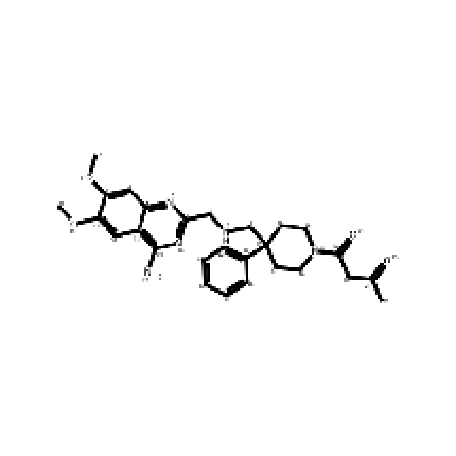 COc1cc2nc(CNCC3(c4ccccc4)CCN(C(=O)CC(C)=O)CC3)nc(N)c2cc1OC